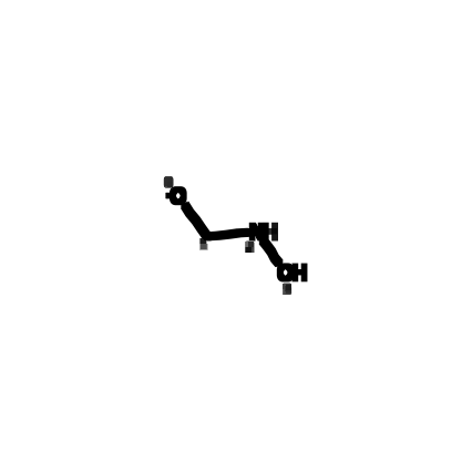 [O]CNO